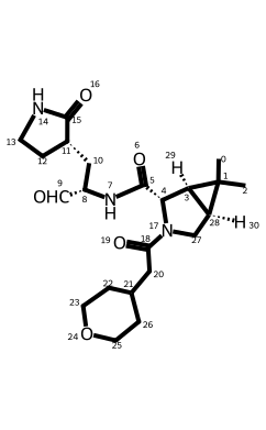 CC1(C)[C@@H]2[C@@H](C(=O)N[C@H](C=O)C[C@@H]3CCNC3=O)N(C(=O)CC3CCOCC3)C[C@@H]21